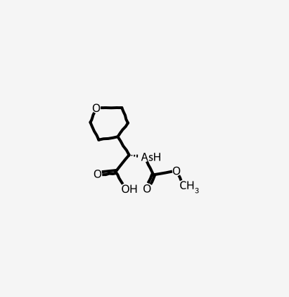 COC(=O)[AsH][C@H](C(=O)O)C1CCOCC1